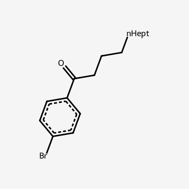 CCCCCCCCCCC(=O)c1ccc(Br)cc1